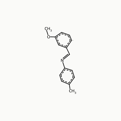 COc1cc[c]c(C=Nc2ccc(C)cc2)c1